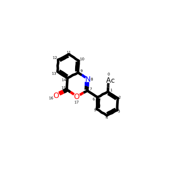 CC(=O)c1ccccc1-c1nc2ccccc2c(=O)o1